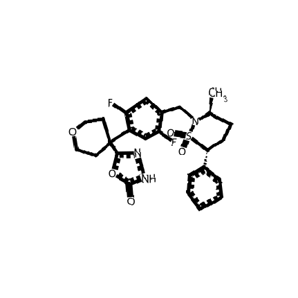 C[C@H]1CC[C@H](c2ccccc2)S(=O)(=O)N1Cc1cc(F)c(C2(c3n[nH]c(=O)o3)CCOCC2)cc1F